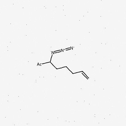 C=CCCCC(N=[N+]=[N-])C(C)=O